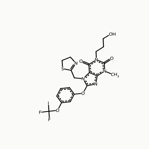 Cn1c(=O)n(CCCO)c(=O)c2c1nc(Oc1cccc(OC(F)(F)I)c1)n2CC1=NCCS1